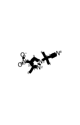 Cc1nn(C(C)(C)C#N)cc1[N+](=O)[O-]